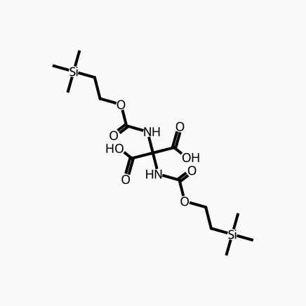 C[Si](C)(C)CCOC(=O)NC(NC(=O)OCC[Si](C)(C)C)(C(=O)O)C(=O)O